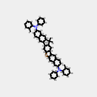 Cc1ccccc1N(c1ccccc1)c1ccc2cc3c(cc2c1)C(C)(C)c1cc2c(cc1-3)sc1cc3cc(N(c4ccccc4)c4ccccc4C)ccc3cc12